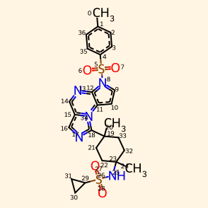 Cc1ccc(S(=O)(=O)n2ccc3c2ncc2cnc(C4(C)CCC(C)(NS(=O)(=O)C5CC5)CC4)n23)cc1